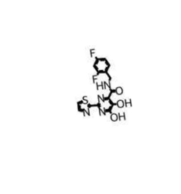 O=C(NCc1ccc(F)cc1F)c1nc(-c2nccs2)nc(O)c1O